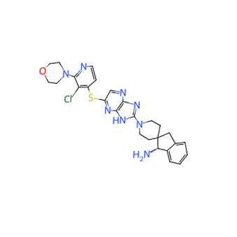 N[C@@H]1c2ccccc2CC12CCN(c1nc3ncc(Sc4ccnc(N5CCOCC5)c4Cl)nc3[nH]1)CC2